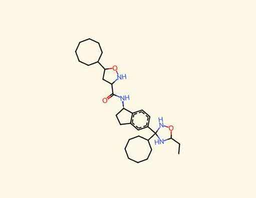 CCC1NC(c2ccc3c(c2)CC[C@H]3NC(=O)C2CC(C3CCCCCCC3)ON2)(C2CCCCCCC2)NO1